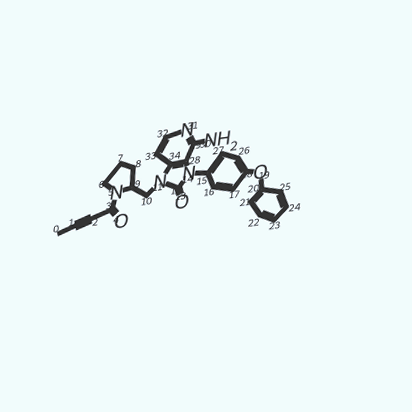 CC#CC(=O)N1CCCC1Cn1c(=O)n(-c2ccc(Oc3ccccc3)cc2)c2c(N)nccc21